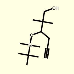 C#CCC(O[Si](C)(C)C(C)(C)C)C(C)(C)CO